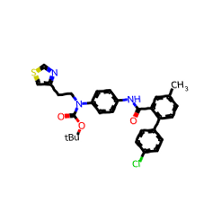 Cc1ccc(-c2ccc(Cl)cc2)c(C(=O)Nc2ccc(N(CCc3cscn3)C(=O)OC(C)(C)C)cc2)c1